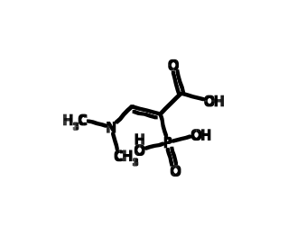 CN(C)C=C(C(=O)O)P(=O)(O)O